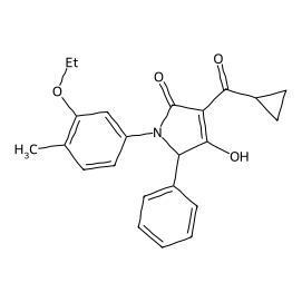 CCOc1cc(N2C(=O)C(C(=O)C3CC3)=C(O)C2c2ccccc2)ccc1C